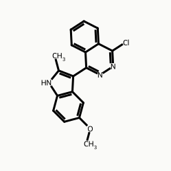 COc1ccc2[nH]c(C)c(-c3nnc(Cl)c4ccccc34)c2c1